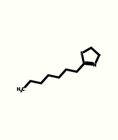 CCCCCCCC1=N[CH]CS1